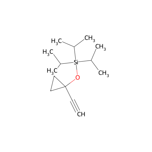 C#CC1(O[Si](C(C)C)(C(C)C)C(C)C)CC1